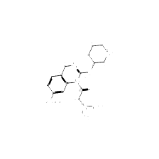 COc1ccc2c(c1)N(C(=O)CN(C)C)C(OC1CCCNC1)=NC2